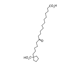 O=C(O)CCCCCCCCCCCC(=O)CCCCCC1(C(=O)O)CCCC1